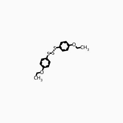 CCOc1ccc(SSSc2ccc(OCC)cc2)cc1